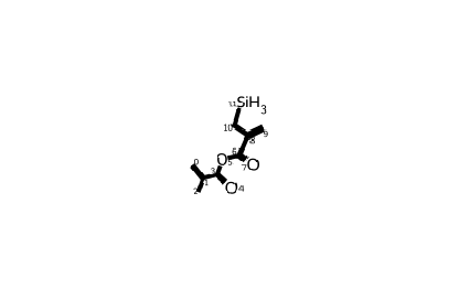 C=C(C)C(=O)OC(=O)C(=C)C[SiH3]